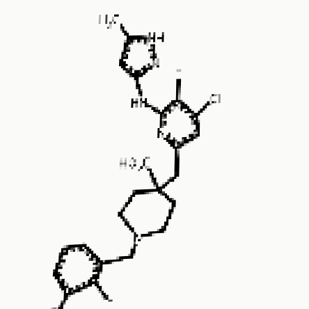 Cc1cc(Nc2nc(CC3(C(=O)O)CCN(Cc4cccc(Cl)c4F)CC3)cc(Cl)c2F)n[nH]1